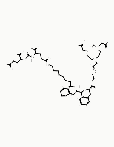 O=C(O)CCC(NC(=O)NC(CCC(=O)NCCCCCCCC(=O)NC(Cc1ccccc1)C(=O)NC(Cc1ccccc1)C(=O)NCCNC(=O)CN1CCN(CC(=O)O)CCN(CC(=O)O)CC1)C(=O)O)C(=O)O